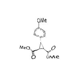 COC(=O)[C@@H]1[C@H](C(=O)OC)[C@H]1c1ccc(OC)cc1